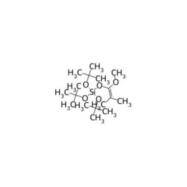 COC(O[Si](OC(C)(C)C)(OC(C)(C)C)OC(C)(C)C)=C(C)C